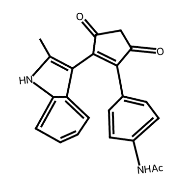 CC(=O)Nc1ccc(C2=C(c3c(C)[nH]c4ccccc34)C(=O)CC2=O)cc1